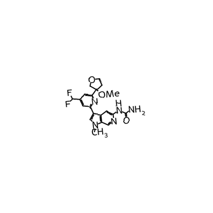 COC1(c2cc(C(F)F)cc(-c3cn(C)c4cnc(NC(N)=O)cc34)n2)CCOC1